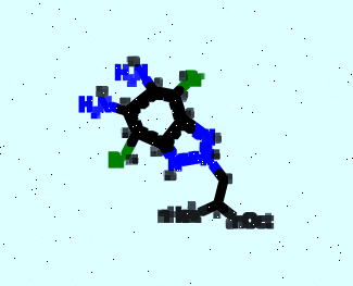 CCCCCCCCC(CCCCCC)Cn1nc2c(Br)c(N)c(N)c(Br)c2n1